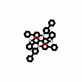 c1ccc(-c2ccc(N(c3ccc(-c4ccccc4)cc3)c3c(-c4ccc5oc6ccccc6c5c4N(c4ccc(-c5ccccc5)cc4)c4ccc(-c5ccccc5)cc4)ccc4oc5ccccc5c34)cc2)cc1